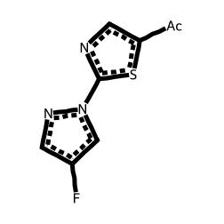 CC(=O)c1cnc(-n2cc(F)cn2)s1